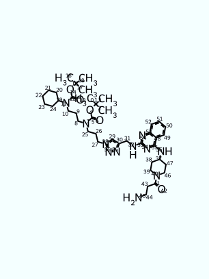 CC(C)(C)OC(=O)N(CCCN(C(=O)OC(C)(C)C)C1CCCCC1)CCCn1cc(CNc2nc(NC3CCN(C(=O)CCN)CC3)c3ccccc3n2)nn1